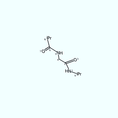 CC(C)NC(=O)CNC(=O)C(C)C